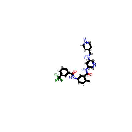 Cc1ccc(NC(=O)c2cccc(C(F)(F)F)c2)cc1C(=O)Nc1cncc(NCC2CCNCC2)c1